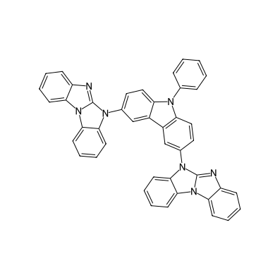 c1ccc(-n2c3ccc(-n4c5ccccc5n5c6ccccc6nc45)cc3c3cc(-n4c5ccccc5n5c6ccccc6nc45)ccc32)cc1